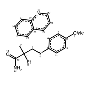 CCC(C)(CSc1ccc(OC)cc1)C(N)=O.c1ccc2ncccc2c1